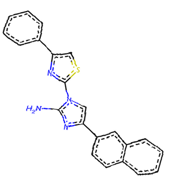 Nc1nc(-c2ccc3ccccc3c2)cn1-c1nc(-c2ccccc2)cs1